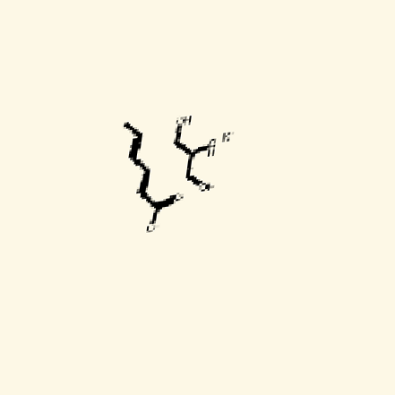 CC=CC=CC(=O)[O-].OCC(O)CO.[K+]